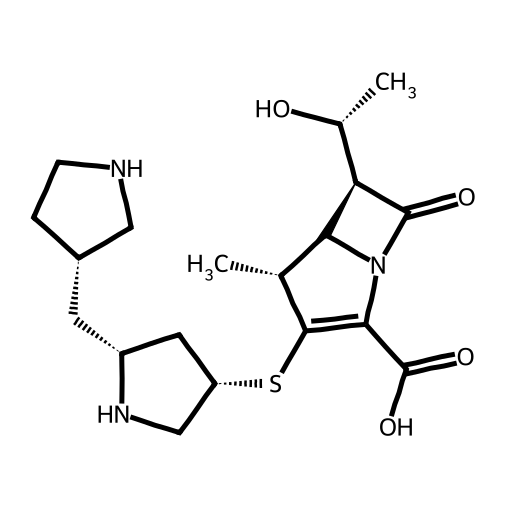 C[C@H]1C(S[C@@H]2CN[C@H](C[C@@H]3CCNC3)C2)=C(C(=O)O)N2C(=O)[C@H]([C@@H](C)O)C12